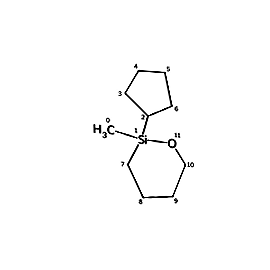 C[Si]1(C2CCCC2)CCCCO1